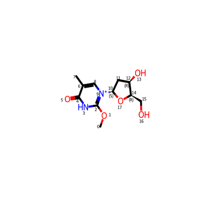 COc1[nH]c(=O)c(C)c[n+]1[C@@H]1C[C@@H](O)[C@@H](CO)O1